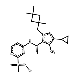 CC1(Cn2nc(C3CC3)c(C(F)(F)F)c2C(=O)Nc2ccnc(S(C)(=O)=NC#N)c2)CC(F)(F)C1